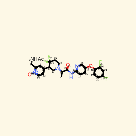 CC(=O)NCc1cc(C2CN(C(C)C(=O)Nc3ccc(Oc4ccc(F)cc4F)cn3)CCC2(F)F)cc[n+]1[O-]